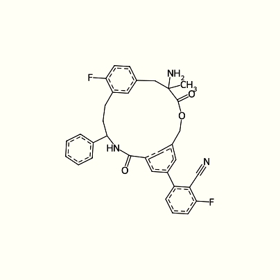 CC1(N)Cc2ccc(F)c(c2)CCC(c2ccccc2)NC(=O)c2cc(cc(-c3cccc(F)c3C#N)c2)COC1=O